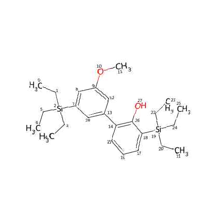 CC[Si](CC)(CC)c1cc(OC)cc(-c2cccc([Si](CC)(CC)CC)c2O)c1